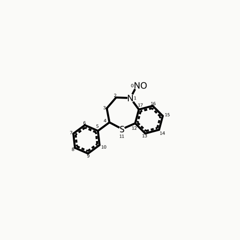 O=NN1CCC(c2ccccc2)Sc2ccccc21